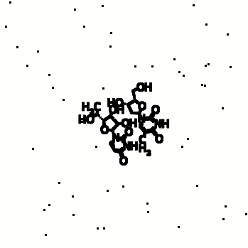 CC(O)[C@H]1O[C@@H](n2ccc(=O)[nH]c2=O)[C@H](O)[C@@H]1O.Cc1cn([C@H]2C[C@H](O)[C@@H](CO)O2)c(=O)[nH]c1=O